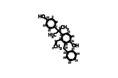 C=Cc1c(C(C)(C)c2ccc(O)cc2)ccc(O)c1Cc1ccccc1